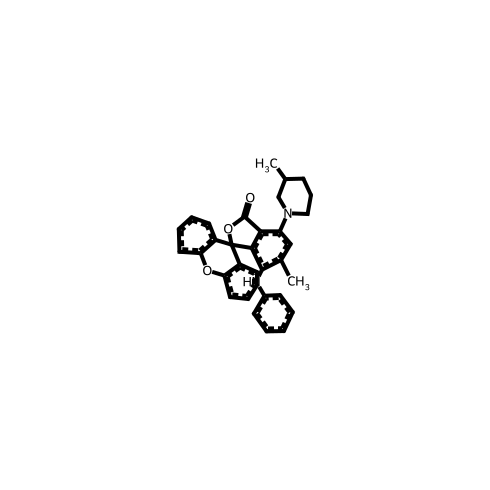 Cc1cc(N2CCCC(C)C2)c2c(c1Nc1ccccc1)C1(OC2=O)c2ccccc2Oc2ccccc21